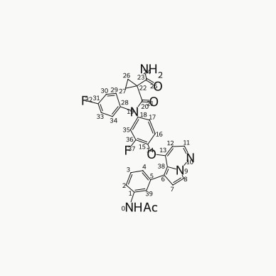 CC(=O)Nc1cccc(-c2ccn3nccc(Oc4ccc(N(C(=O)C5(C(N)=O)CC5)c5ccc(F)cc5)cc4F)c23)c1